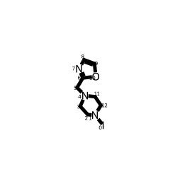 IN1CCN(Cc2ncco2)CC1